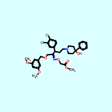 COC(=O)CON=C(COCc1cc(OC)cc(OC)c1)C(CCN1CCC(O)(c2ccccc2)CC1)c1ccc(Cl)c(Cl)c1